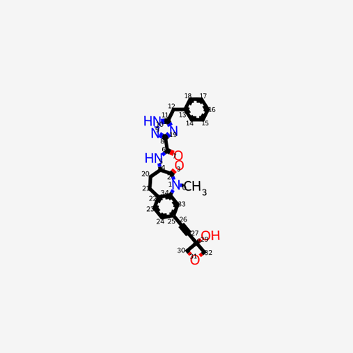 CN1C(=O)C(NC(=O)c2n[nH]c(Cc3ccccc3)n2)CCc2ccc(C#CC3(O)COC3)cc21